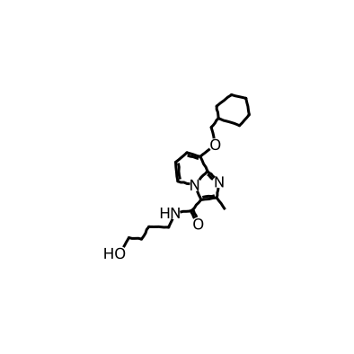 Cc1nc2c(OCC3CCCCC3)cccn2c1C(=O)NCCCCO